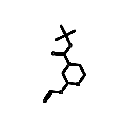 CC(C)(C)OC(=O)N1CCOC(OC=O)C1